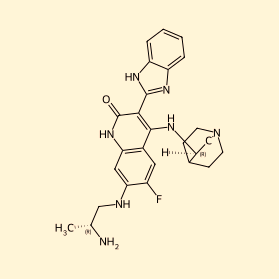 C[C@@H](N)CNc1cc2[nH]c(=O)c(-c3nc4ccccc4[nH]3)c(N[C@H]3CN4CCC3CC4)c2cc1F